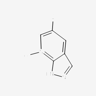 [O-][n+]1cc(F)cc2[c]n[nH]c21